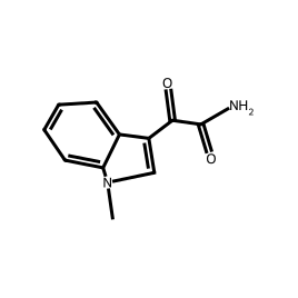 Cn1cc(C(=O)C(N)=O)c2ccccc21